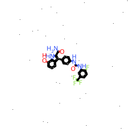 NC(=O)c1[nH]c2c(O)cccc2c1-c1ccc(NC(=O)Nc2cc(C(F)(F)F)ccc2F)cc1